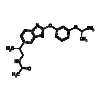 CC(=O)NCC(C)c1ccc2nc(Oc3cccc(OC(C)C)c3)sc2c1